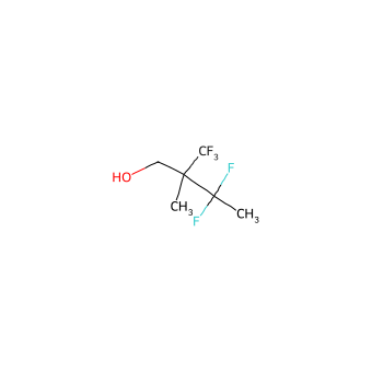 CC(F)(F)C(C)(CO)C(F)(F)F